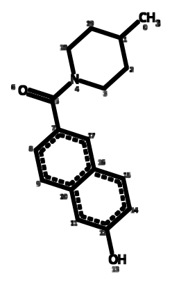 CC1CCN(C(=O)c2ccc3cc(O)ccc3c2)CC1